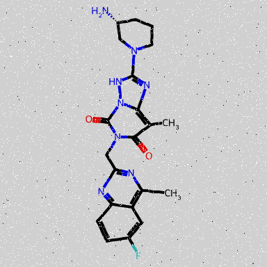 Cc1nc(Cn2c(=O)c(C)c3nc(N4CCC[C@@H](N)C4)[nH]n3c2=O)nc2ccc(F)cc12